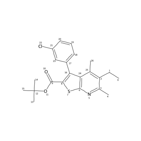 CCc1c(C)nc2sc(C(=O)OC(C)(C)C)c(-c3cccc(Cl)c3)c2c1C